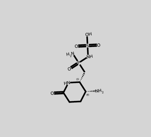 N[C@@H]1CCC(=O)N[C@@H]1CP(N)(=O)NS(=O)(=O)O